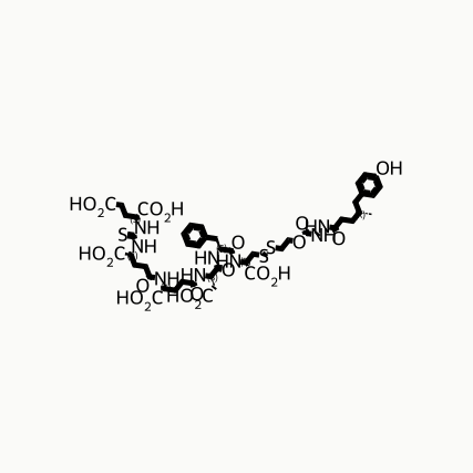 C[C@H](CCC(=O)NNC(=O)OCCSSC[C@H](NC(=O)[C@H](Cc1ccccc1)NC(=O)[C@H](CC(=O)O)NC(=O)CC[C@H](NC(=O)CC[C@H](NC(=S)N[C@@H](CCC(=O)O)C(=O)O)C(=O)O)C(=O)O)C(=O)O)Cc1ccc(O)cc1